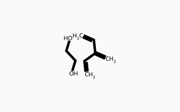 C=CC(=C)C=C.OCCO